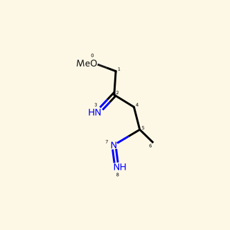 COCC(=N)CC(C)N=N